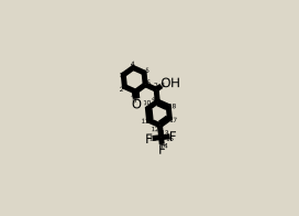 O=C1CCCCC1C(O)c1ccc(C(F)(F)F)cc1